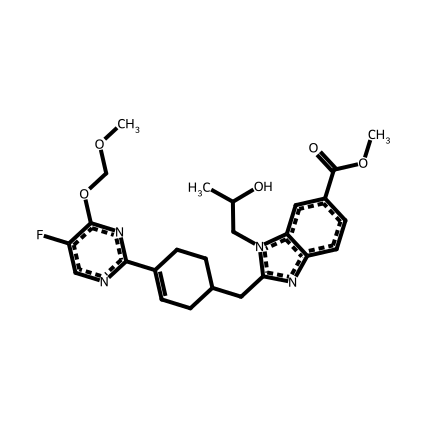 COCOc1nc(C2=CCC(Cc3nc4ccc(C(=O)OC)cc4n3CC(C)O)CC2)ncc1F